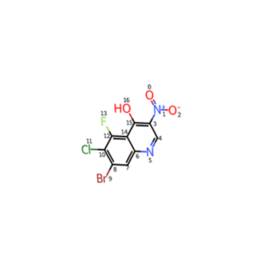 O=[N+]([O-])c1cnc2cc(Br)c(Cl)c(F)c2c1O